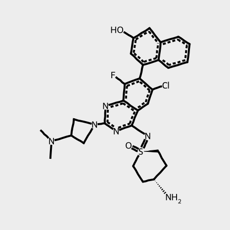 CN(C)C1CN(c2nc(N=[S@]3(=O)CC[C@H](N)CC3)c3cc(Cl)c(-c4cc(O)cc5ccccc45)c(F)c3n2)C1